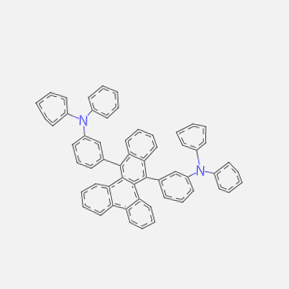 c1ccc(N(c2ccccc2)c2cccc(-c3c4ccccc4c(-c4cccc(N(c5ccccc5)c5ccccc5)c4)c4c5ccccc5c5ccccc5c34)c2)cc1